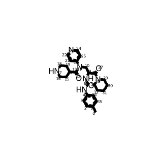 Cc1ccc(NC(=O)NC(CN(C(=O)C2CCNCC2)c2ccncc2)C(=O)N2CCCCC2)cc1